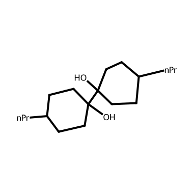 CCCC1CCC(O)(C2(O)CCC(CCC)CC2)CC1